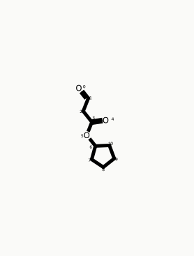 O=CCC(=O)OC1CCCC1